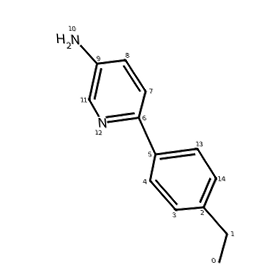 CCc1ccc(-c2ccc(N)cn2)cc1